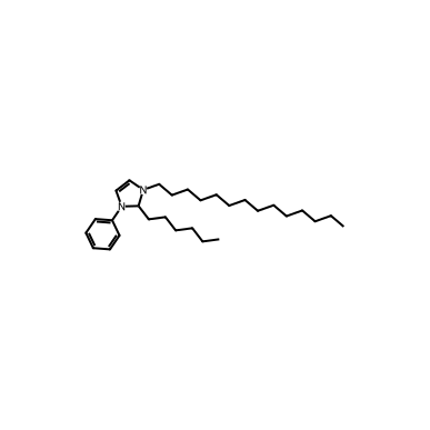 CCCCCCCCCCCCCCN1C=CN(c2ccccc2)C1CCCCCC